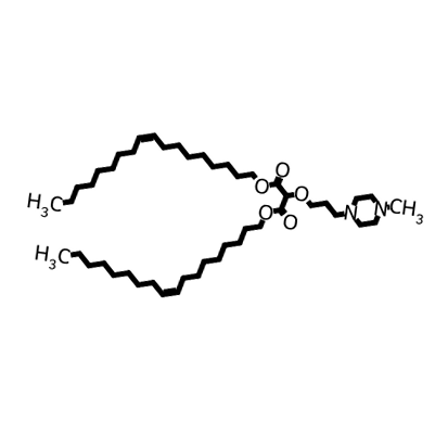 CCCCCCCC/C=C\CCCCCCCCOC(=O)C(OCCCN1CCN(C)CC1)C(=O)OCCCCCCCC/C=C\CCCCCCCC